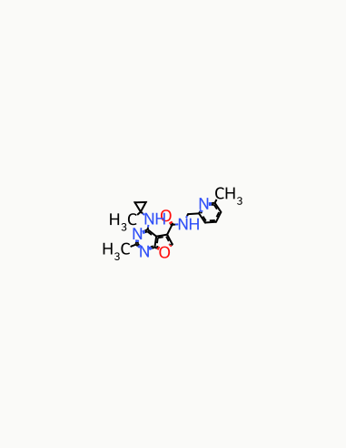 Cc1cccc(CNC(=O)c2coc3nc(C)nc(NC4(C)CC4)c23)n1